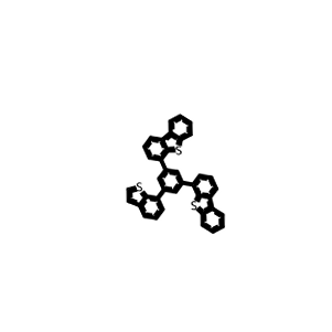 c1cc(-c2cc(-c3cccc4c3sc3ccccc34)cc(-c3cccc4c3sc3ccccc34)c2)c2sccc2c1